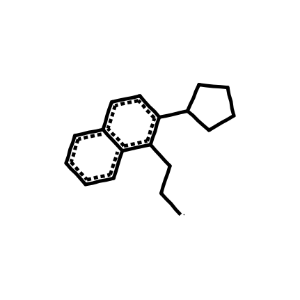 [CH2]CCc1c(C2CCCC2)ccc2ccccc12